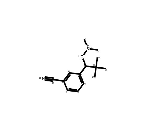 C[SiH](C)OC(c1cccc(C#N)c1)C(C)(C)C